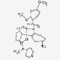 COc1ccc(S(=O)(=O)N2C(=O)C(OC(=O)N(C)c3ccncc3)(c3sccc3C)c3cc(Cl)ccc32)c(OC)c1